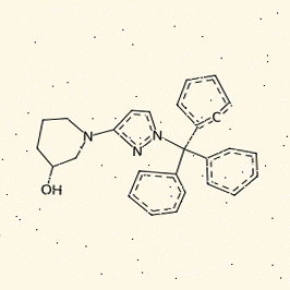 OC1CCCN(c2ccn(C(c3ccccc3)(c3ccccc3)c3ccccc3)n2)C1